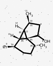 CC(C)[C@@H]1CC[C@@H](C)[C@@]23C(O)C[C@H](C)[C@@H]2[C@@H]13